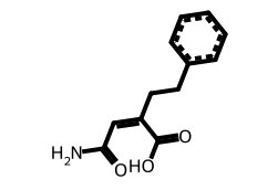 NC(=O)C=C(CCc1ccccc1)C(=O)O